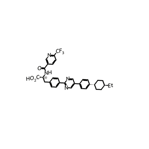 CC[C@H]1CC[C@H](c2ccc(-c3cnc(-c4ccc(C[C@H](NC(=O)c5ccc(C(F)(F)F)nc5)C(=O)O)cc4)nc3)cc2)CC1